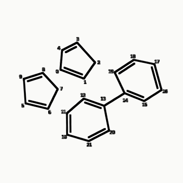 C1=CCC=C1.C1=CCC=C1.c1ccc(-c2ccccc2)cc1